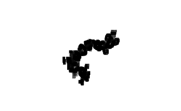 Cc1nc2c(F)cc(-c3nc(Nc4ccc(N5CCC(N6CCN(Cc7ccc8c(c7)CN(C7CCC(=O)NC7=O)C8=O)CC6)CC5)cn4)ncc3F)cc2n1C(C)C